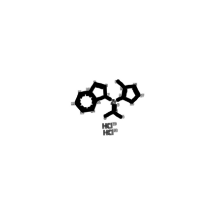 CC1=[C]([Zr](=[C](C)C)[CH]2C=Cc3ccccc32)CC=C1.Cl.Cl